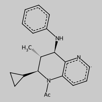 CC(=O)N1c2cc[c]nc2[C@H](Nc2ccccc2)[C@@H](C)[C@@H]1C1CC1